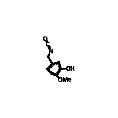 COc1ccc(CN=C=O)cc1O